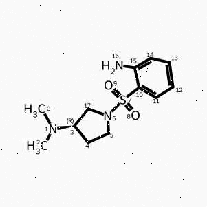 CN(C)[C@@H]1CCN(S(=O)(=O)c2ccccc2N)C1